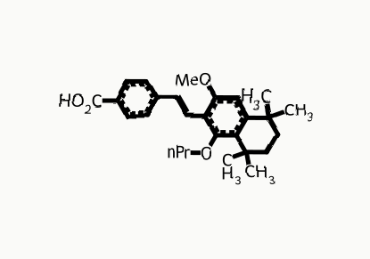 CCCOc1c(C=Cc2ccc(C(=O)O)cc2)c(OC)cc2c1C(C)(C)CCC2(C)C